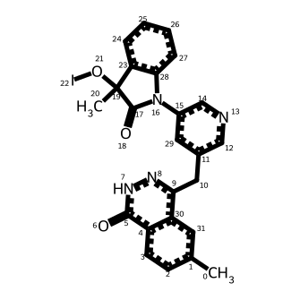 Cc1ccc2c(=O)[nH]nc(Cc3cncc(N4C(=O)C(C)(OI)c5ccccc54)c3)c2c1